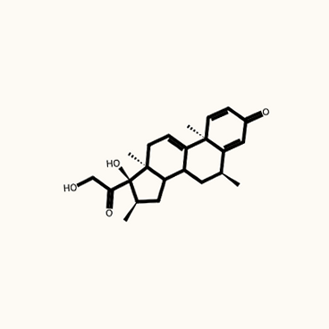 C[C@@H]1CC2C3C[C@H](C)C4=CC(=O)C=C[C@]4(C)C3=CC[C@]2(C)[C@@]1(O)C(=O)CO